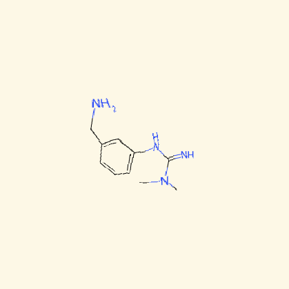 CN(C)C(=N)Nc1cccc(CN)c1